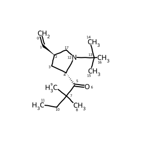 C=C[C@@H]1C[C@@H](C(=O)C(C)(C)CC)N(C(C)(C)C)C1